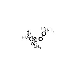 CC(=O)ON1C(c2cccc(-c3ccc(C(=N)N)cc3)c2)=CN2CC(C(=N)N)CCC21